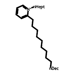 CCCCCCCCCCCCCCCCCCCc1cccc[n+]1CCCCCCC